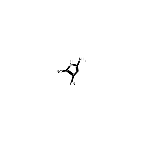 N#Cc1cc(N)[nH]c1C#N